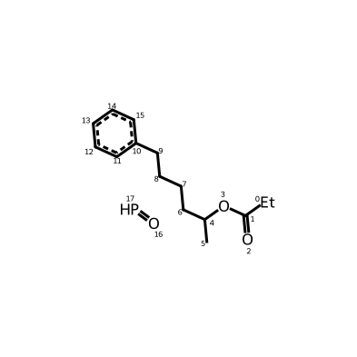 CCC(=O)OC(C)CCCCc1ccccc1.O=P